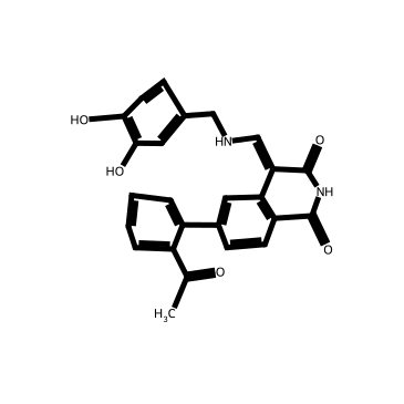 CC(=O)c1ccccc1-c1ccc2c(c1)/C(=C\NCc1ccc(O)c(O)c1)C(=O)NC2=O